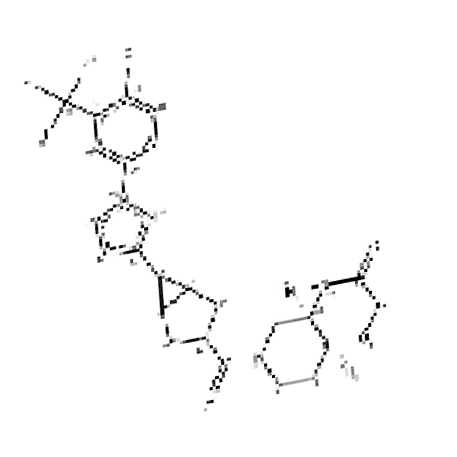 O=C1CO[C@H]2CCN(C(=O)N3CC4C(C3)C4c3ccn(-c4ccc(F)c(C(F)(F)F)c4)n3)C[C@H]2N1